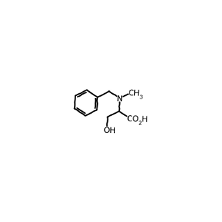 CN(Cc1ccccc1)C(CO)C(=O)O